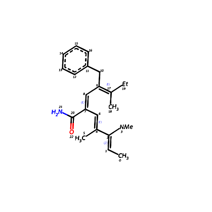 C/C=C(NC)/C(C)=C/C(=C\C(Cc1ccccc1)=C(/C)CC)C(N)=O